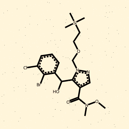 CON(C)C(=O)c1cnn(COCC[Si](C)(C)C)c1C(O)c1cccc(Cl)c1Br